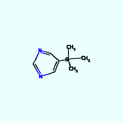 C[Si](C)(C)c1cncnc1